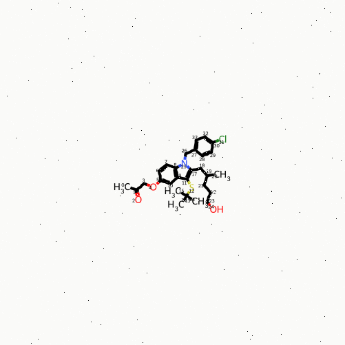 CC(=O)COc1ccc2c(c1)c(SC(C)(C)C)c(CC(C)CCCO)n2Cc1ccc(Cl)cc1